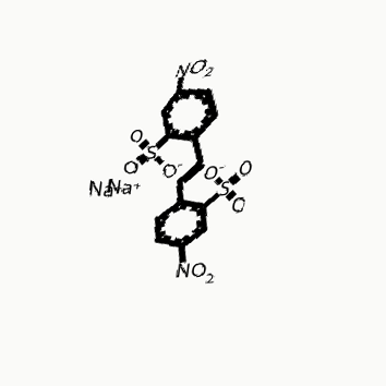 O=[N+]([O-])c1ccc(C=Cc2ccc([N+](=O)[O-])cc2S(=O)(=O)[O-])c(S(=O)(=O)[O-])c1.[Na+].[Na+]